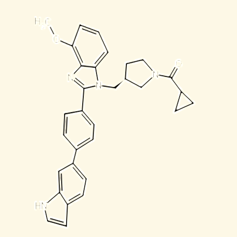 COc1cccc2c1nc(-c1ccc(-c3ccc4cc[nH]c4c3)cc1)n2C[C@H]1CCN(C(=O)C2CC2)C1